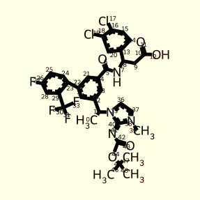 CC(c1cc(C(=O)NC(CC(=O)O)c2ccc(Cl)c(Cl)c2)cc(-c2ccc(F)cc2C(F)(F)F)c1)n1ccn(C)c1=NC(=O)OC(C)(C)C